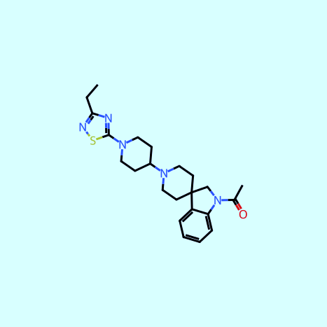 CCc1nsc(N2CCC(N3CCC4(CC3)CN(C(C)=O)c3ccccc34)CC2)n1